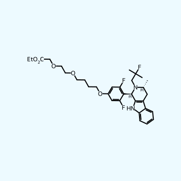 CCOC(=O)COCCOCCCCOc1cc(F)c([C@@H]2c3[nH]c4ccccc4c3C[C@@H](C)N2CC(C)(C)F)c(F)c1